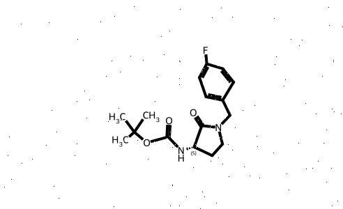 CC(C)(C)OC(=O)N[C@H]1CCN(Cc2ccc(F)cc2)C1=O